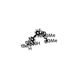 COC(=O)CC[C@H](NC(=O)c1cc(C#Cc2cnc3nc(NC(=O)C(C)(C)C)nc(O)c3c2)ccc1F)C(=O)OC